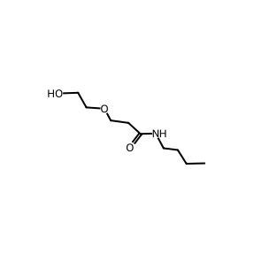 CCCCNC(=O)CCOCCO